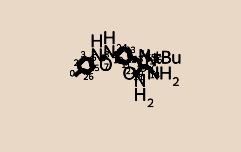 Cc1ccc(NC(=O)Nc2ccc(-c3nn(C(C)(C)C)c(N)c3C(N)=O)cc2)cc1